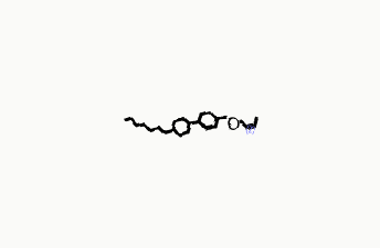 C/C=C\COCC1CCC(C2CCC(CCCCCCC)CC2)CC1